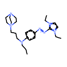 CCCN(CCC[N+]12CCN(CC1)CC2)c1ccc(/N=N/c2n(CC)cc[n+]2CC)cc1